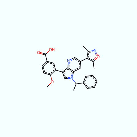 COc1ccc(C(=O)O)cc1-c1cn(C(C)c2ccccc2)c2cc(-c3c(C)noc3C)cnc12